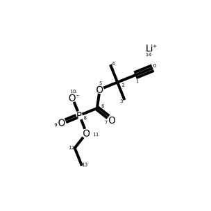 C#CC(C)(C)OC(=O)P(=O)([O-])OCC.[Li+]